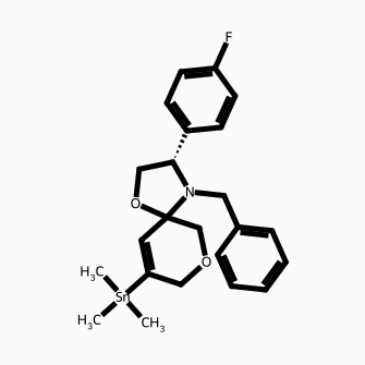 [CH3][Sn]([CH3])([CH3])[C]1=CC2(COC1)OC[C@H](c1ccc(F)cc1)N2Cc1ccccc1